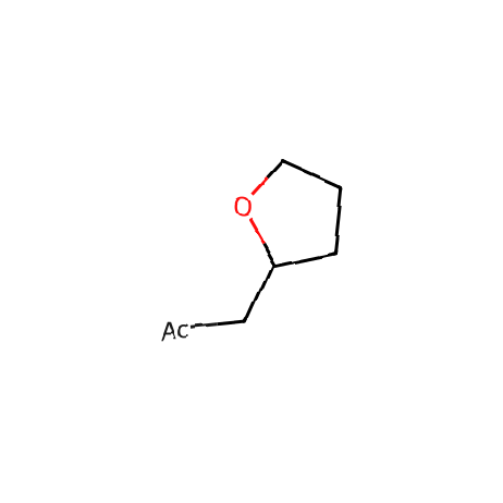 [CH2]C(=O)CC1CCCO1